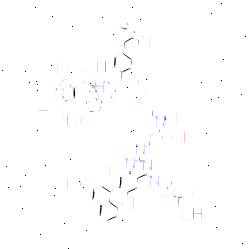 CCC(=O)N1CCN(c2nc(NCCC(O)N(C)CCOCCOc3cc(-c4scnc4C)ccc3CNC(=O)[C@@H]3C[C@@H](O)CN3C(=O)[C@H](c3cc(C)no3)C(C)C)nc3c(F)c(-c4cc(O)cc5ccccc45)c(Cl)cc23)CC1